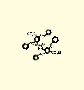 CCOC(=O)c1cc(OCc2ccccc2)c(NC(=O)Nc2cc(OCc3ccccc3)c(C(=O)OCC)cc2OCc2ccccc2)cc1OCc1ccccc1